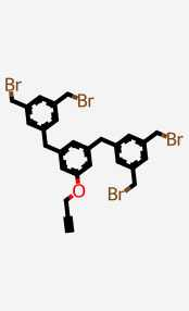 C#CCOc1cc(Cc2cc(CBr)cc(CBr)c2)cc(Cc2cc(CBr)cc(CBr)c2)c1